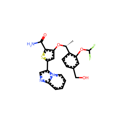 C[C@@H](Oc1cc(-c2cnc3ccccn23)sc1C(N)=O)c1ccc(CO)cc1OC(F)F